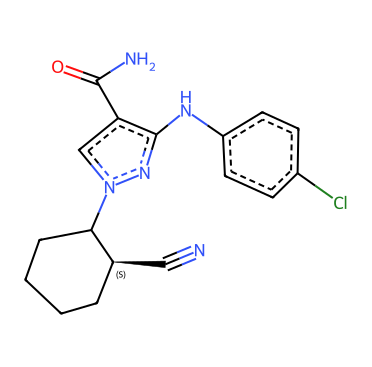 N#C[C@H]1CCCCC1n1cc(C(N)=O)c(Nc2ccc(Cl)cc2)n1